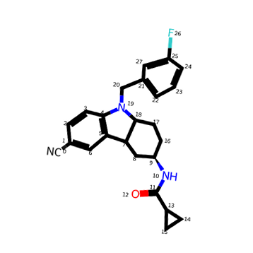 N#Cc1ccc2c(c1)C1C[C@H](NC(=O)C3CC3)CCC1N2Cc1cccc(F)c1